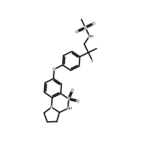 CC(F)(CNS(C)(=O)=O)c1ccc(Oc2ccc3c(c2)S(=O)(=O)NC2CCCN32)cc1